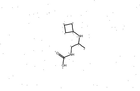 CC(CNC(=O)O)NC1CCC1